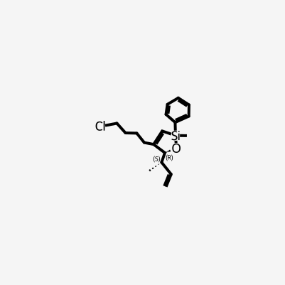 C=C[C@H](C)[C@H]1O[Si](C)(c2ccccc2)C=C1CCCCCl